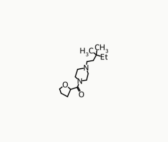 CCC(C)(C)CCN1CCN(C(=O)C2CCCO2)CC1